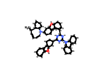 C=C1/C=C\C=C/N(c2ccc3c(c2)oc2cccc(-c4nc(-c5ccc6c(c5)oc5ccccc56)nc(-n5c6ccccc6c6ccccc65)n4)c23)c2ccccc21